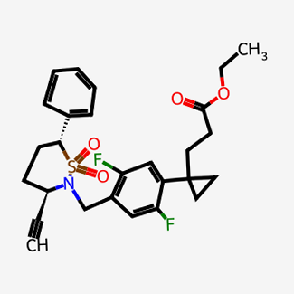 C#C[C@H]1CC[C@H](c2ccccc2)S(=O)(=O)N1Cc1cc(F)c(C2(CCC(=O)OCC)CC2)cc1F